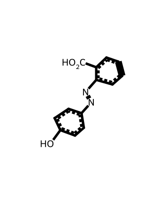 O=C(O)c1cc#ccc1/N=N/c1ccc(O)cc1